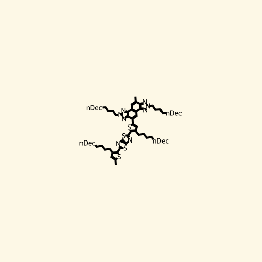 CCCCCCCCCCCCCCc1cc(C)sc1-c1nc2sc(-c3sc(-c4cc5c(cc(C)c6nn(CCCCCCCCCCCCCC)nc65)c5nn(CCCCCCCCCCCCCC)nc45)cc3CCCCCCCCCCCCCC)nc2s1